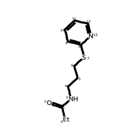 CCC(=O)NCCCSc1ccccn1